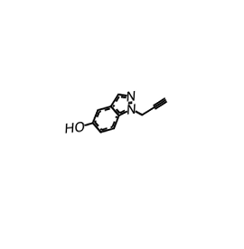 C#CCn1ncc2cc(O)ccc21